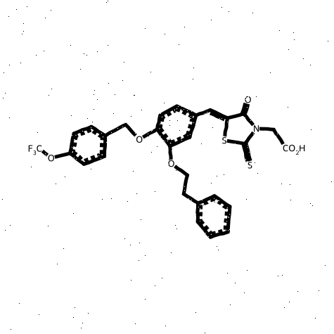 O=C(O)CN1C(=O)C(=Cc2ccc(OCc3ccc(OC(F)(F)F)cc3)c(OCCc3ccccc3)c2)SC1=S